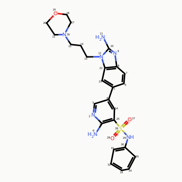 Nc1ncc(-c2ccc3nc(N)n(CCCN4CCOCC4)c3c2)cc1S(=O)(=O)Nc1ccccc1